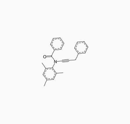 Cc1cc(C)c(N(C#CCc2ccccc2)C(=O)c2ccccc2)c(C)c1